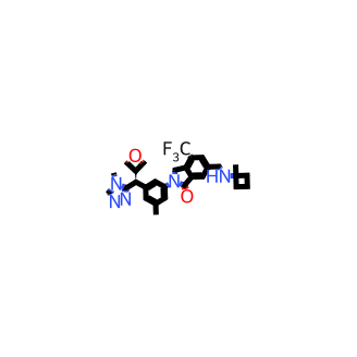 Cc1cc([C@H](c2nncn2C)C2COC2)cc(N2Cc3c(cc(CNC4(C)CCC4)cc3C(F)(F)F)C2=O)c1